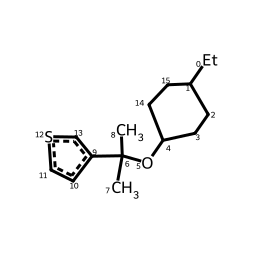 CCC1CCC(OC(C)(C)c2ccsc2)CC1